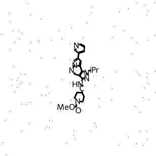 COC(=O)N1CCC(CNc2nn(C(C)C)c3c2cnn2cc(-c4cccnc4)cc32)CC1